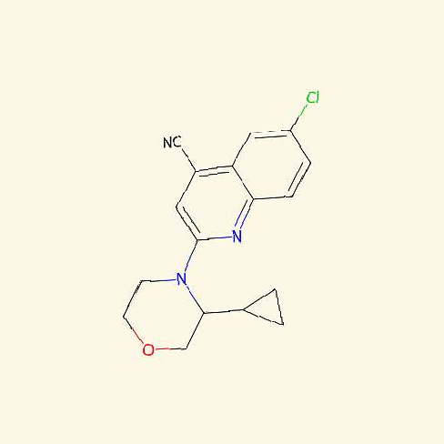 N#Cc1cc(N2CCOCC2C2CC2)nc2ccc(Cl)cc12